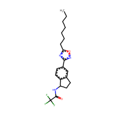 CCCCCCCc1nc(-c2ccc3c(c2)CCC3NC(=O)C(F)(F)F)no1